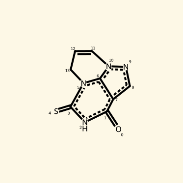 O=c1[nH]c(=S)n2c3c1cnn3C=CC2